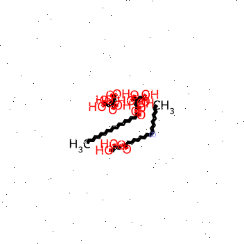 CCCCCCCC/C=C\CCCCCCCC(=O)OCC(O)CO.CCCCCCCCCCCCCCCCCC(=O)OC(=O)CC(O)(CC(=O)O)C(=O)O.O=C(O)CC(O)(CC(=O)O)C(=O)O